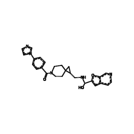 O=C(c1ccc(-n2ccnc2)cc1)N1CCC2(CC1)CC2CNC(O)c1cc2ccncc2o1